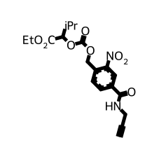 C#CCNC(=O)c1ccc(COC(=O)OC(C(=O)OCC)C(C)C)c([N+](=O)[O-])c1